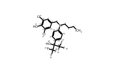 CCCCN(Cc1cc(Cl)c(O)c(Cl)c1)c1ccc(C(O)(C(F)(F)F)C(F)(F)F)cc1